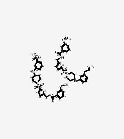 CCCc1cccc(NC2CCN(S(=O)(=O)c3ccc(CNC(=O)c4cccc(OC)c4)s3)CC2)c1.COc1cccc(C(=O)NCc2ccc(S(=O)(=O)N3CCC(Nc4cccc(S(C)(=O)=O)c4)CC3)s2)c1